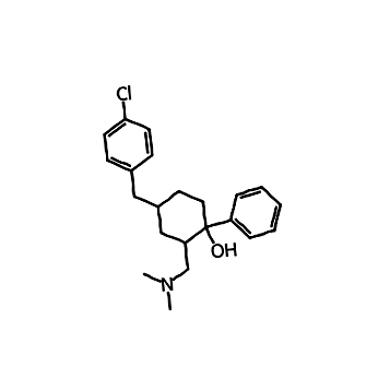 CN(C)CC1CC(Cc2ccc(Cl)cc2)CCC1(O)c1ccccc1